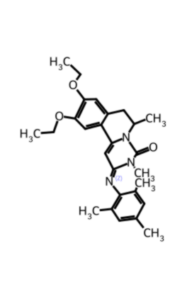 CCOc1cc2c(cc1OCC)-c1c/c(=N/c3c(C)cc(C)cc3C)n(C)c(=O)n1C(C)C2